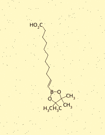 CC1(C)OB(/C=C/CCCCCCCCC(=O)O)OC1(C)C